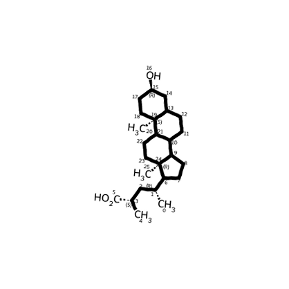 C[C@H](C[C@H](C)C(=O)O)C1CCC2C3CCC4C[C@H](O)CC[C@]4(C)C3CC[C@@]21C